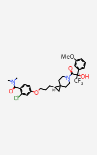 COc1cccc([C@](O)(C(=O)N2CCC3(CC2)C[C@H]3CCCOc2ccc(C(=O)N(C)C)c(Cl)c2)C(F)(F)F)c1